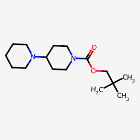 CC(C)(C)COC(=O)N1CCC(N2CCCCC2)CC1